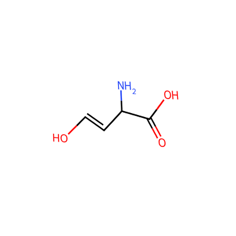 NC(/C=C/O)C(=O)O